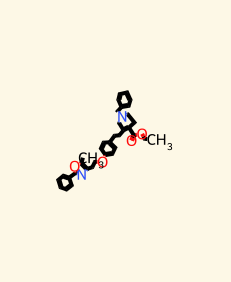 CCOC(=O)C1=C(CCc2ccc(OCCc3nc(-c4ccccc4)oc3C)cc2)CN(Cc2ccccc2)CC1